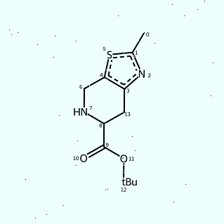 Cc1nc2c(s1)CNC(C(=O)OC(C)(C)C)C2